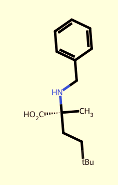 CC(C)(C)CC[C@](C)(NCc1ccccc1)C(=O)O